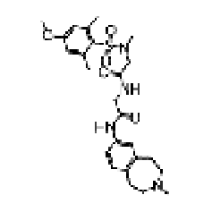 COc1cc(C)c(S(=O)(=O)N(C)CC(=O)NCC(=O)Nc2ccc3c(c2)CCN(C)CC3)c(C)c1